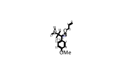 C=CCO/N=C(/c1ccc(OC)cc1)C(C)(C)N(C)C